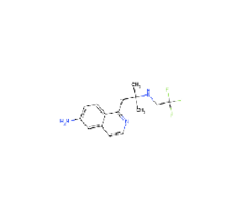 CC(C)([CH]c1nccc2cc(N)ccc12)NCC(F)(F)F